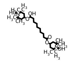 CC1(C)CC(OC(=O)CCCCCCCCC(O)OC2CC(C)(C)N(O)C(C)(C)C2)CC(C)(C)N1O